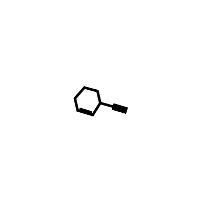 C#CC1C=CCCC1